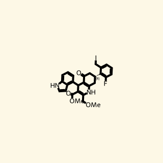 COCC1=C(C(=O)OC)C(c2cccc3[nH]ccc23)C2=C(C[C@@H](c3c(F)cccc3CI)CC2=O)N1